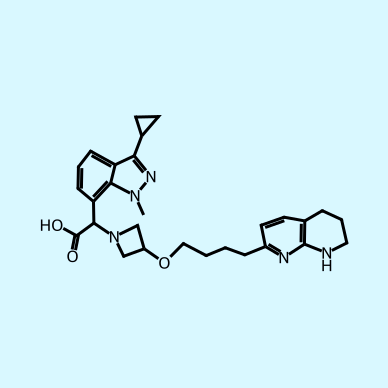 Cn1nc(C2CC2)c2cccc(C(C(=O)O)N3CC(OCCCCc4ccc5c(n4)NCCC5)C3)c21